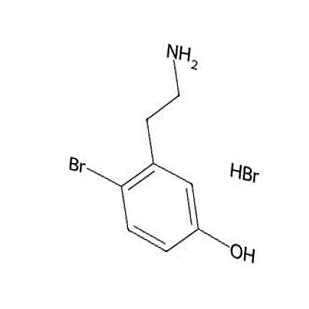 Br.NCCc1cc(O)ccc1Br